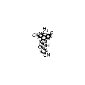 Cc1cc(-c2cnc(NC(=O)N3CCC(C#N)CC3)nc2-c2ccc(F)cc2)cc(Cl)n1